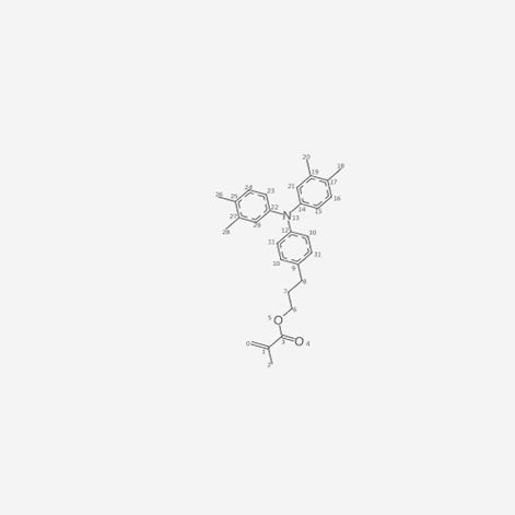 C=C(C)C(=O)OCCCc1ccc(N(c2ccc(C)c(C)c2)c2ccc(C)c(C)c2)cc1